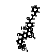 Cc1cc(-c2cccc(S(C)(=O)=O)c2)c(Cl)cc1C1=C(O)C2(CCN(C(=O)CCCc3ccccc3)CC2)OC1=O